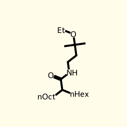 CCCCCCCCC(CCCCCC)C(=O)NCCC(C)(C)OCC